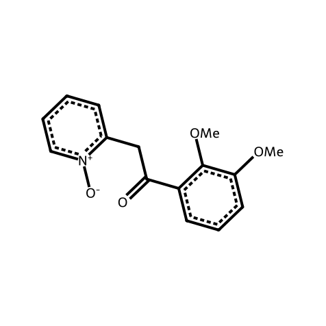 COc1cccc(C(=O)Cc2cccc[n+]2[O-])c1OC